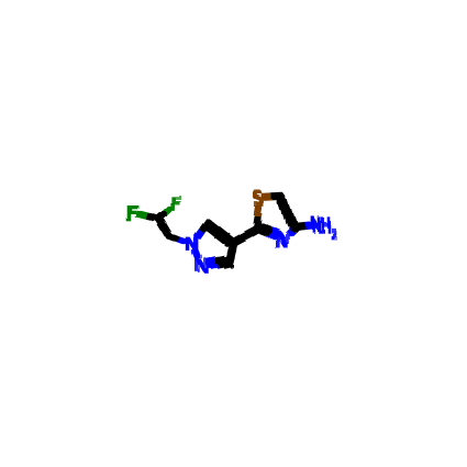 Nc1csc(-c2cnn(CC(F)F)c2)n1